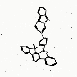 CC1(C)c2ccccc2-c2ccc3c(c(-c4ccc(-c5ccc6c7ccccc7nn6c5)cc4)nc4ccccc43)c21